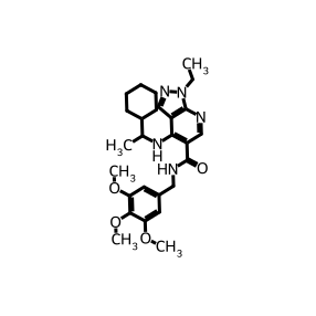 CCn1ncc2c(NC(C)C3CCCCC3)c(C(=O)NCc3cc(OC)c(OC)c(OC)c3)cnc21